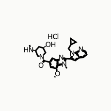 CN[C@H]1C[C@@H](O)CN(C(=O)c2cc(OC)c3c(c2)nc(-c2cc4cccnc4n2CC2CC2)n3C)C1.Cl